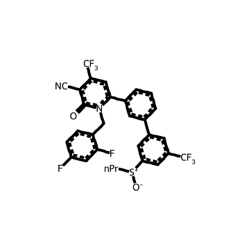 CCC[S+]([O-])c1cc(-c2cccc(-c3cc(C(F)(F)F)c(C#N)c(=O)n3Cc3ccc(F)cc3F)c2)cc(C(F)(F)F)c1